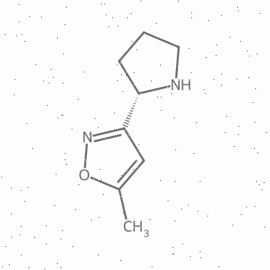 Cc1cc([C@@H]2CCCN2)no1